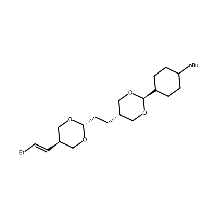 CC/C=C/[C@H]1CO[C@H](CC[C@H]2CO[C@H](C3CCC(CCCC)CC3)OC2)OC1